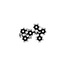 CCc1cccc(CC)c1N(c1ccc(C=Nn2c(-c3ccccc3)c3ccccc3c2-c2ccccc2)cc1)c1c(CC)cccc1CC